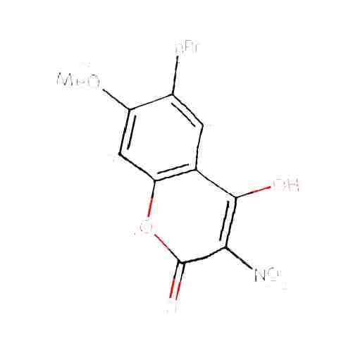 CCCc1cc2c(O)c([N+](=O)[O-])c(=O)oc2cc1OC